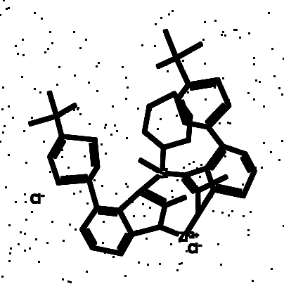 CC1=C2c3c(-c4ccc(C(C)(C)C)cc4)cccc3[CH]1[Zr+2][CH]1C(C)=C(c3c(-c4ccc(C(C)(C)C)cc4)cccc31)[Si]2(C)C1CCCCC1.[Cl-].[Cl-]